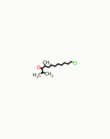 C=C(C)C(=O)C(C)CCCCCCCCCl